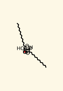 CCCCCCCCCCCCCC(=O)C(O)(CO)C(O)(C(=O)CCCCCCCCCCCCC)P(=O)=O